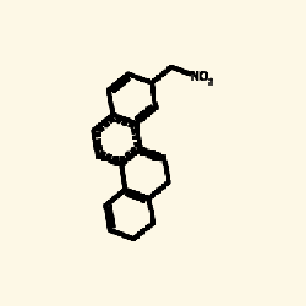 O=[N+]([O-])CC1C=Cc2ccc3c(c2=C1)=CCC1=C3C=CCC1